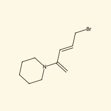 C=C(/C=C/CBr)N1CCCCC1